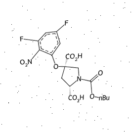 CCCCOC(=O)N1C[C@@](Oc2cc(F)cc(F)c2[N+](=O)[O-])(C(=O)O)C[C@H]1C(=O)O